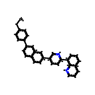 CCc1ccc(-c2ccc3ccc(-c4ccc(-c5cccc6cccnc56)nc4)cc3c2)cc1